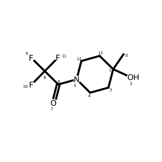 CC1(O)CCN(C(=O)C(F)(F)F)CC1